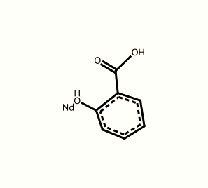 O=C(O)c1ccccc1O.[Nd]